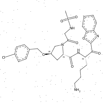 CS(=O)(=O)NCC(=O)N1C[C@H](OCc2ccc(Cl)cc2)C[C@H]1C(=O)N[C@@H](CCCCN)C(=O)c1nc2ccccc2o1